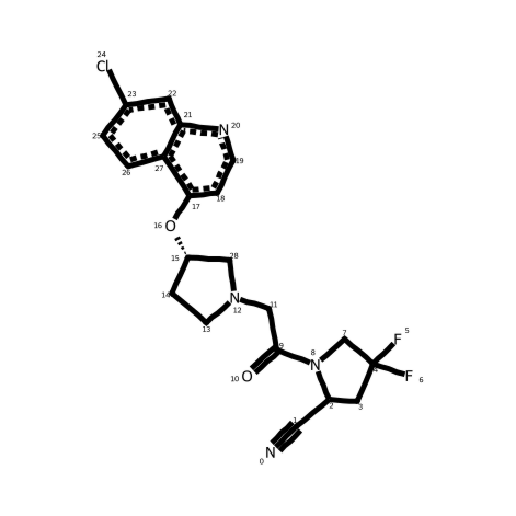 N#CC1CC(F)(F)CN1C(=O)CN1CC[C@H](Oc2ccnc3cc(Cl)ccc23)C1